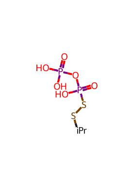 CC(C)SSP(=O)(O)OP(=O)(O)O